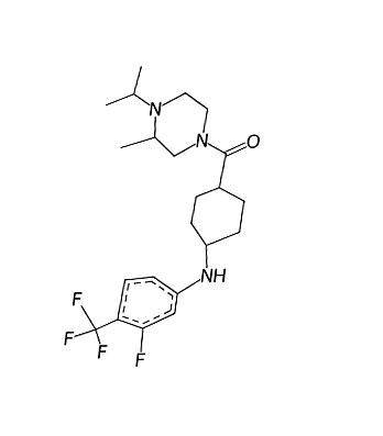 CC(C)N1CCN(C(=O)C2CCC(Nc3ccc(C(F)(F)F)c(F)c3)CC2)CC1C